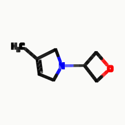 CC1=CCN(C2COC2)C1